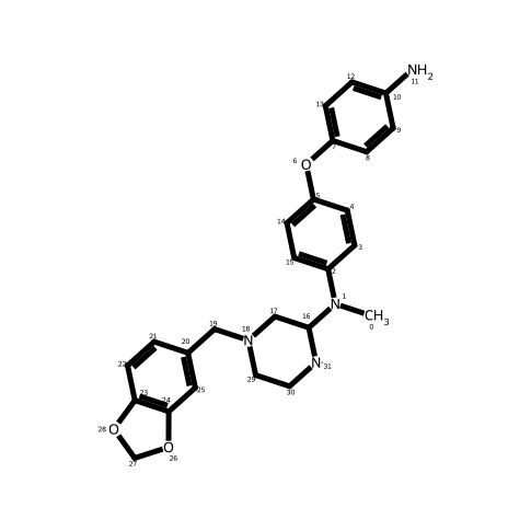 CN(c1ccc(Oc2ccc(N)cc2)cc1)C1CN(Cc2ccc3c(c2)OCO3)CC[N]1